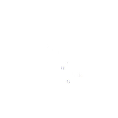 O=C1c2ccc(Cl)cc2CCN1c1cncc(Br)c1